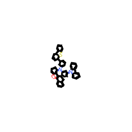 c1cc(-c2cccc3c2sc2ccccc23)cc(N(c2cccc(-n3c4ccccc4c4ccccc43)c2)c2cccc3oc4c5ccccc5ccc4c23)c1